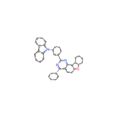 c1ccc(-c2nc(-c3cccc(-n4c5ccccc5c5ccccc54)c3)nc3c2ccc2oc4ccccc4c23)cc1